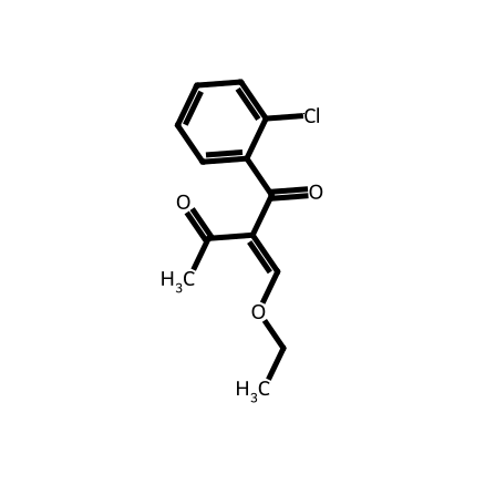 CCOC=C(C(C)=O)C(=O)c1ccccc1Cl